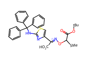 CSC(O/N=C(\C(=O)O)c1csc(NC(c2ccccc2)(c2ccccc2)c2ccccc2)n1)C(=O)OC(C)(C)C